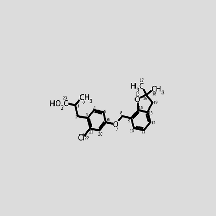 CC(Cc1ccc(OCc2cccc3c2OC(C)(C)C3)cc1Cl)C(=O)O